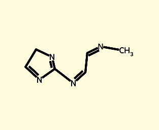 C/N=C\C=N/C1=NCC=N1